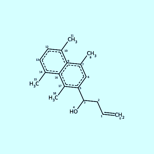 C=CCC(O)c1cc(C)c2c(C)ccc(C)c2c1C